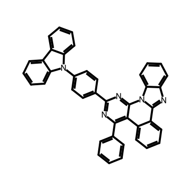 c1ccc(-c2nc(-c3ccc(-n4c5ccccc5c5ccccc54)cc3)nc3c2c2ccccc2c2nc4ccccc4n23)cc1